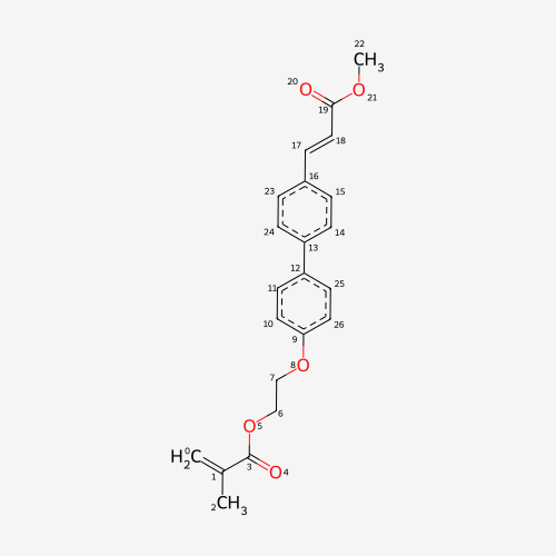 C=C(C)C(=O)OCCOc1ccc(-c2ccc(C=CC(=O)OC)cc2)cc1